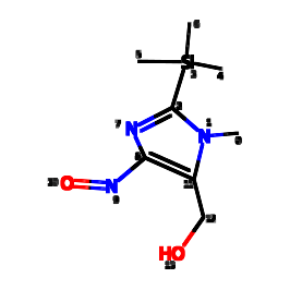 Cn1c([Si](C)(C)C)nc(N=O)c1CO